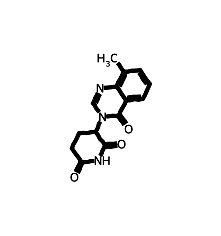 Cc1cccc2c(=O)n(C3CCC(=O)NC3=O)cnc12